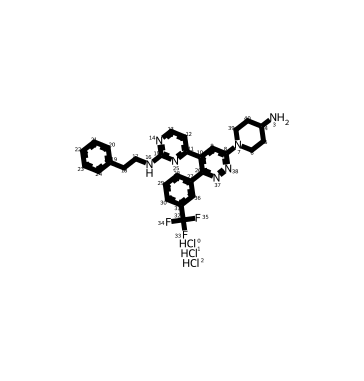 Cl.Cl.Cl.NC1CCN(c2cc(-c3ccnc(NCCc4ccccc4)n3)c(-c3cccc(C(F)(F)F)c3)nn2)CC1